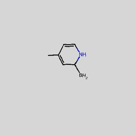 BC1C=C(C)C=CN1